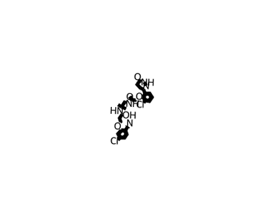 CC(C)(CNC(=O)COc1c(Cl)cccc1C1=NNC(=O)CC1)NC(O)CCOc1cc(Cl)ccc1C#N